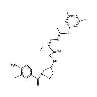 CC/C(=C/N=C(\C)Nc1cc(C)cc(C)c1)C(=N)CNC1CCN(C(=O)c2ccc(N)c(C)c2)C1